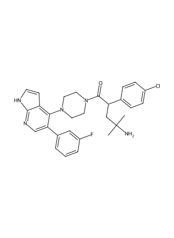 CC(C)(N)CC(C(=O)N1CCN(c2c(-c3cccc(F)c3)cnc3[nH]ccc23)CC1)c1ccc(Cl)cc1